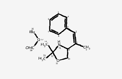 CC(=Cc1ccccc1)C1COC(C)(C)N1.CC(C)(C)OC=O